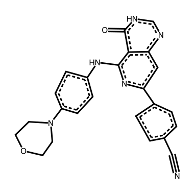 N#Cc1ccc(-c2cc3nc[nH]c(=O)c3c(Nc3ccc(N4CCOCC4)cc3)n2)cc1